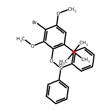 COc1cc(C(C)(C)C)c(O[SiH](c2ccccc2)c2ccccc2)c(OC)c1Br